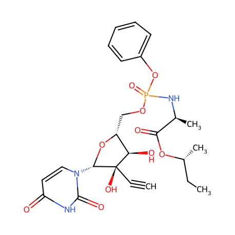 C#C[C@@]1(O)[C@H](O)[C@@H](COP(=O)(N[C@@H](C)C(=O)O[C@H](C)CC)Oc2ccccc2)O[C@H]1n1ccc(=O)[nH]c1=O